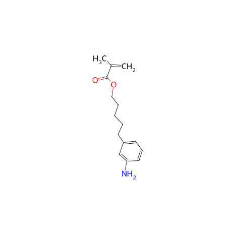 C=C(C)C(=O)OCCCCCc1cccc(N)c1